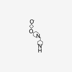 CO[C@H]1C[C@H](OC2CCN(CC3CCNCC3)CC2)C1